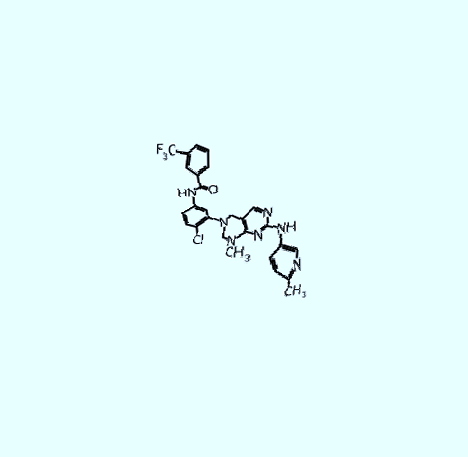 Cc1ccc(Nc2ncc3c(n2)N(C)CN(c2cc(NC(=O)c4cccc(C(F)(F)F)c4)ccc2Cl)C3)cn1